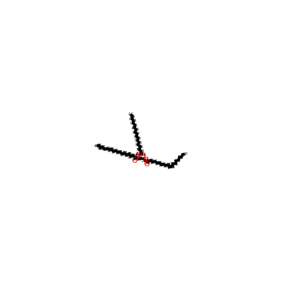 CCCCCCCC/C=C\CCCCCCCCCC(=O)OC[C@@H](COC(=O)CCCCCCCCCCCCCCCCCC)OC(=O)CCCCCCCCCCCCCCCCCC